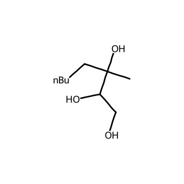 CCCCCC(C)(O)C(O)CO